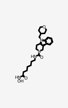 O=C(CCCCCCNC(=O)N1CCc2c(c3ccccc3n2CC2CCOCC2)C1)NO